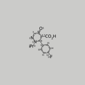 CC(C)n1ncc(=O)c(C(=O)O)c1-c1ccc(F)cc1